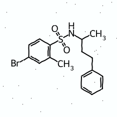 Cc1cc(Br)ccc1S(=O)(=O)NC(C)CCc1ccccc1